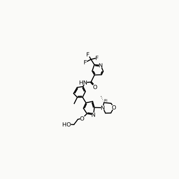 Cc1ccc(NC(=O)c2ccnc(C(F)(F)F)c2)cc1-c1cc(OCCO)nc(N2CCOC[C@H]2C)c1